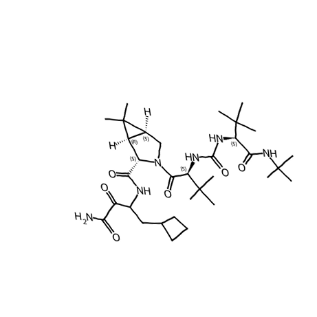 CC(C)(C)NC(=O)[C@@H](NC(=O)N[C@H](C(=O)N1C[C@H]2[C@@H]([C@H]1C(=O)NC(CC1CCC1)C(=O)C(N)=O)C2(C)C)C(C)(C)C)C(C)(C)C